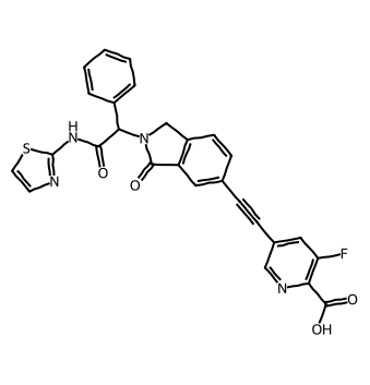 O=C(O)c1ncc(C#Cc2ccc3c(c2)C(=O)N(C(C(=O)Nc2nccs2)c2ccccc2)C3)cc1F